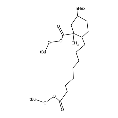 CCCCCCC1CCC(CCCCCCCC(=O)OOC(C)(C)C)C(C)(C(=O)OOC(C)(C)C)C1